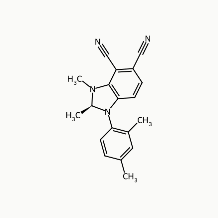 Cc1ccc(N2c3ccc(C#N)c(C#N)c3N(C)[C@@H]2C)c(C)c1